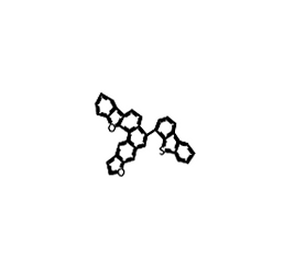 c1ccc2c(c1)oc1c2ccc2c(-c3cccc4c3sc3ccccc34)cc3cc4occc4cc3c21